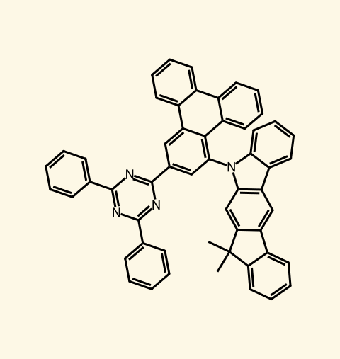 CC1(C)c2ccccc2-c2cc3c4ccccc4n(-c4cc(-c5nc(-c6ccccc6)nc(-c6ccccc6)n5)cc5c6ccccc6c6ccccc6c45)c3cc21